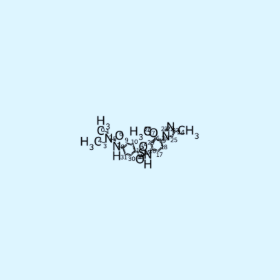 CCN(CC)C(=O)Nc1ccc(S(=O)(=O)Nc2ccc(-n3cnc(C)c3)c(OC)c2)cc1